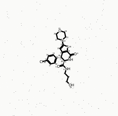 O=C1N[C@@H](C(=O)NCCCO)[C@H](c2ccc(Cl)cc2)c2cc(N3CCOCC3)sc21